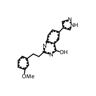 COc1cccc(CCc2nc(O)c3cc(-c4cn[nH]c4)ccc3n2)c1